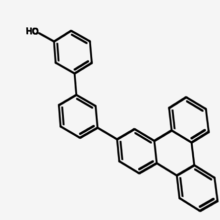 Oc1cccc(-c2cccc(-c3ccc4c5ccccc5c5ccccc5c4c3)c2)c1